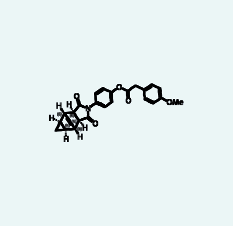 COc1ccc(CC(=O)Oc2ccc(N3C(=O)[C@@H]4[C@@H]5C=C[C@@H]([C@H]6C[C@@H]56)[C@@H]4C3=O)cc2)cc1